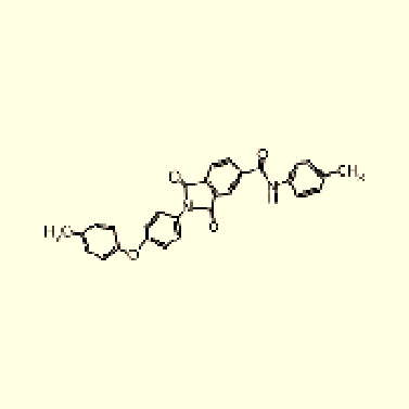 Cc1ccc(NC(=O)c2ccc3c(c2)C(=O)N(c2ccc(Oc4ccc(C)cc4)cc2)C3=O)cc1